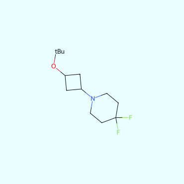 CC(C)(C)OC1CC(N2CCC(F)(F)CC2)C1